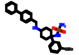 COc1cccc(C2(NS(N)(=O)=O)CCC(NCc3ccc(-c4ccccc4)cc3)CC2)c1